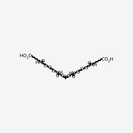 CC(C)(COCCC(=O)NCCOCCOCCOCCC(=O)NCCCCCCCC(=O)O)COCCC(=O)NCCOCCOCCOCCC(=O)NCCCCCCCC(=O)O